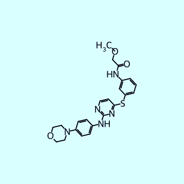 COCC(=O)Nc1cccc(Sc2ccnc(Nc3ccc(N4CCOCC4)cc3)n2)c1